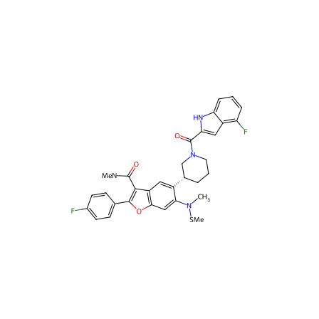 CNC(=O)c1c(-c2ccc(F)cc2)oc2cc(N(C)SC)c([C@H]3CCCN(C(=O)c4cc5c(F)cccc5[nH]4)C3)cc12